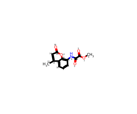 COC(=O)C(=O)Nc1cccc2c(C)cc(=O)oc12